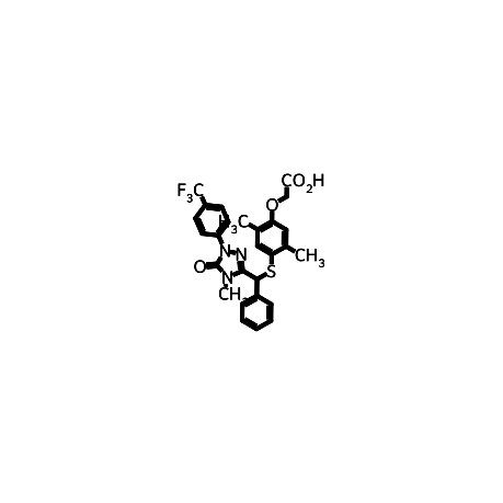 Cc1cc(SC(c2ccccc2)c2nn(-c3ccc(C(F)(F)F)cc3)c(=O)n2C)c(C)cc1OCC(=O)O